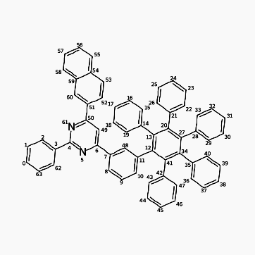 c1ccc(-c2nc(-c3cccc(-c4c(-c5ccccc5)c(-c5ccccc5)c(-c5ccccc5)c(-c5ccccc5)c4-c4ccccc4)c3)cc(-c3ccc4ccccc4c3)n2)cc1